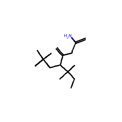 C=C(N)CC(=C)C(CC(C)(C)C)C(C)(C)CC